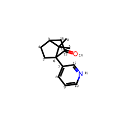 CC1(C)C2CCC1(c1cccnc1)C(=O)C2